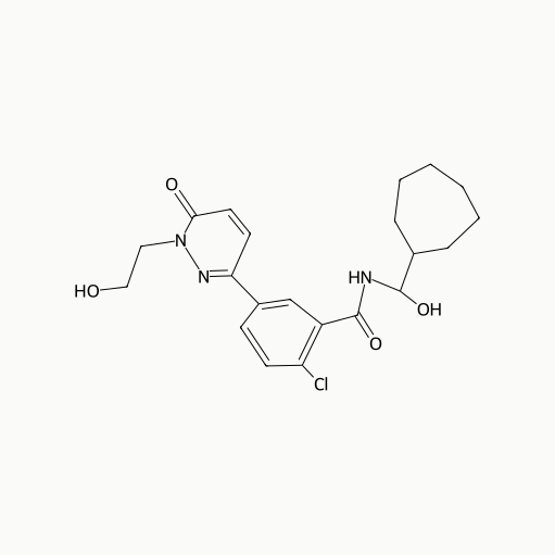 O=C(NC(O)C1CCCCCC1)c1cc(-c2ccc(=O)n(CCO)n2)ccc1Cl